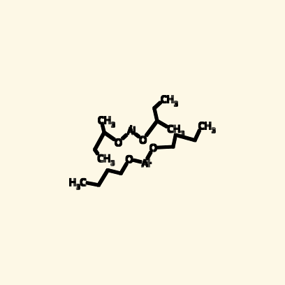 CCC(C)[O][Al][O]C(C)CC.CCCC[O][Al][O]CCCC